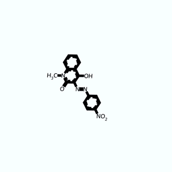 Cn1c(=O)c(N=Nc2ccc([N+](=O)[O-])cc2)c(O)c2ccccc21